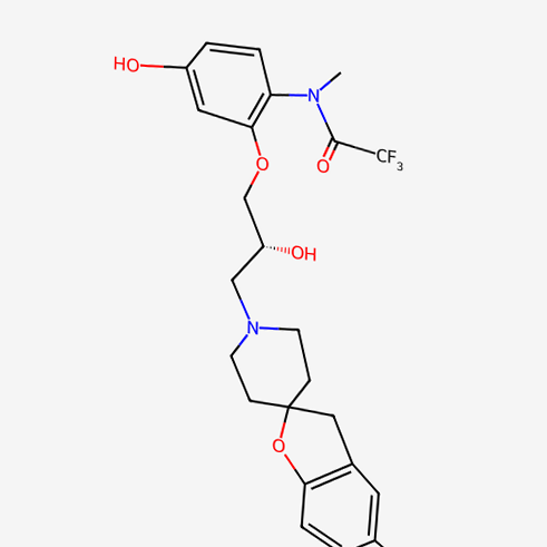 CN(C(=O)C(F)(F)F)c1ccc(O)cc1OC[C@H](O)CN1CCC2(CC1)Cc1cc(Cl)ccc1O2